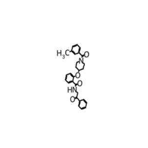 Cc1cccc(C(=O)N2CCC(Oc3ccccc3C(=O)NCC(=O)c3ccccc3)CC2)c1